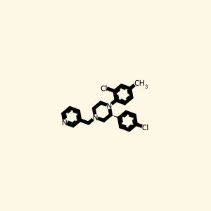 Cc1ccc(N2CCN(Cc3cccnc3)C[C@H]2c2ccc(Cl)cc2)c(Cl)c1